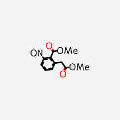 COC(=O)Cc1cccc(N=O)c1C(=O)OC